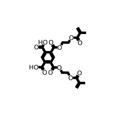 C=C(C)C(=O)OCCOC(=O)c1cc(C(=O)OCCOC(=O)C(=C)C)c(C(=O)O)cc1C(=O)O